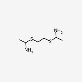 CC(N)SCCSC(C)N